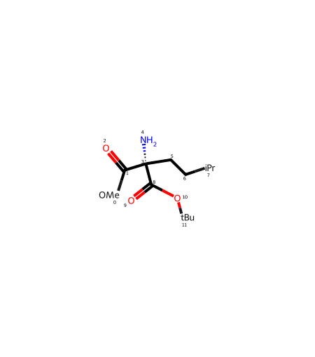 COC(=O)[C@@](N)(CCC(C)C)C(=O)OC(C)(C)C